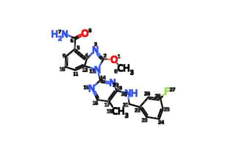 COc1nc2c(C(N)=O)cccc2n1-c1ncc(C)c(NCc2cccc(F)c2)n1